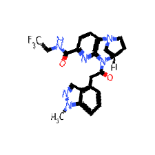 Cn1ncc2c(CC(=O)N3c4nc(C(=O)NCC(F)(F)F)ccc4N4CC[C@H]3C4)cccc21